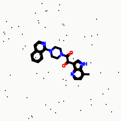 Cc1ccnc2c(C(=O)C(=O)N3CCN(c4nccc5ccccc45)CC3)c[nH]c12